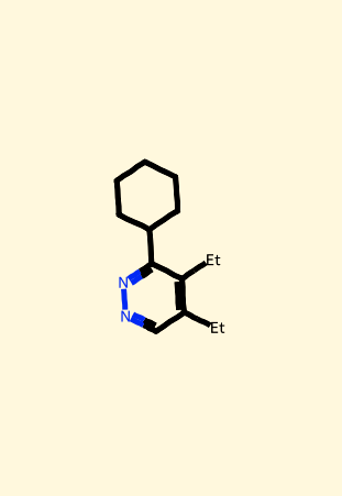 CCc1cnnc(C2CCCCC2)c1CC